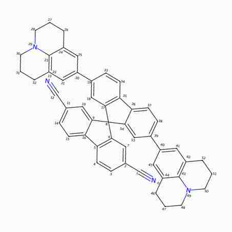 N#Cc1ccc2c(c1)C1(c3cc(C#N)ccc3-2)c2cc(-c3cc4c5c(c3)CCCN5CCC4)ccc2-c2ccc(-c3cc4c5c(c3)CCCN5CCC4)cc21